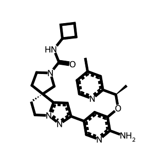 Cc1ccnc([C@@H](C)Oc2cc(-c3cc4n(n3)CC[C@@]43CCN(C(=O)NC4CCC4)C3)cnc2N)c1